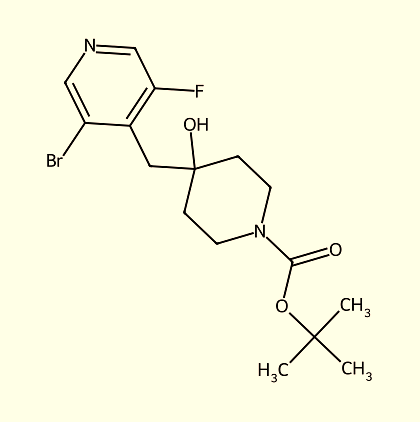 CC(C)(C)OC(=O)N1CCC(O)(Cc2c(F)cncc2Br)CC1